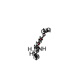 C=C(NCc1ccc(C(=N)c2cc(-c3ccc(N4CC5CC4CN5CCc4ccc(C(CCC=O)C(=O)NC)cc4)cn3)cnc2N)cc1C)c1noc(C(C)(C)C)n1